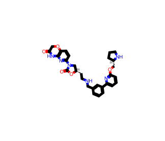 O=C1COc2ccc(N3C[C@H](CCNCc4cccc(-c5cccc(OC[C@@H]6CCCN6)n5)c4)OC3=O)nc2N1